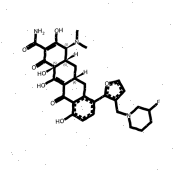 CN(C)[C@@H]1C(O)=C(C(N)=O)C(=O)[C@@]2(O)C(O)=C3C(=O)c4c(O)ccc(-c5occc5CN5CCCC(F)C5)c4C[C@H]3C[C@@H]12